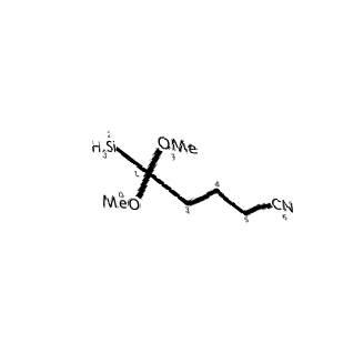 COC([SiH3])(CCCC#N)OC